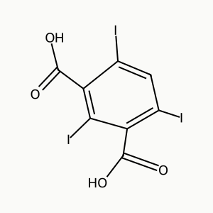 O=C(O)c1c(I)cc(I)c(C(=O)O)c1I